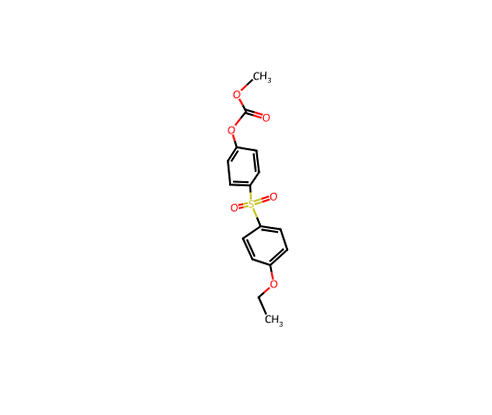 CCOc1ccc(S(=O)(=O)c2ccc(OC(=O)OC)cc2)cc1